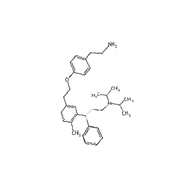 Cc1ccc(CCOc2ccc(CCN)cc2)cc1[C@H](CCN(C(C)C)C(C)C)c1ccccc1